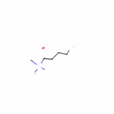 CCCCCCCCCC[N+](C)(C)C.O=P